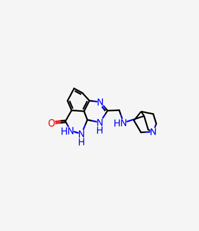 O=C1NNC2NC(CNC3CN4CCC3CC4)=Nc3cccc1c32